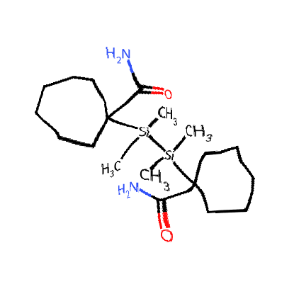 C[Si](C)(C1(C(N)=O)CCCCC1)[Si](C)(C)C1(C(N)=O)CCCCC1